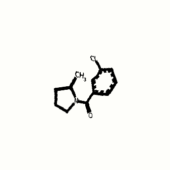 CC1CCCN1C(=O)c1cccc(Cl)c1